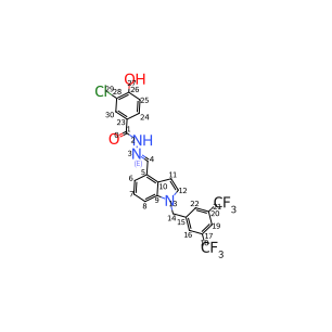 O=C(N/N=C/c1cccc2c1ccn2Cc1cc(C(F)(F)F)cc(C(F)(F)F)c1)c1ccc(O)c(Cl)c1